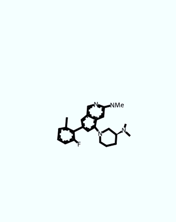 CNc1cc2c(N3CCC[C@H](N(C)C)C3)cc(-c3c(C)cccc3F)cc2cn1